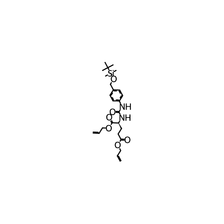 C=CCOC(=O)CC[C@H](NC(=O)Nc1ccc(CO[Si](C)(C)C(C)(C)C)cc1)C(=O)OCC=C